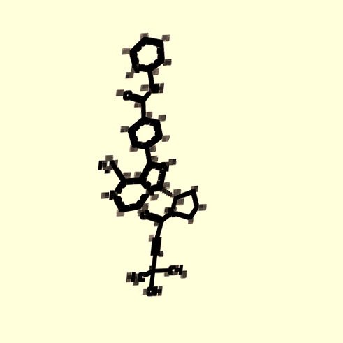 CC(C)(O)C#CC(=O)N1CCC[C@H]1c1nc(-c2ccc(C(=O)Nc3ccccn3)cc2)c2c(N)nccn12